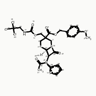 COc1ccc(COC(=O)C2(COC(=O)NCC(Cl)(Cl)Cl)CS[C@@H]3C(N(C(C)=O)c4cccs4)C(=O)N3C2)cc1